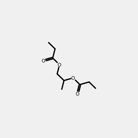 CCC(=O)OCC(C)OC(=O)CC